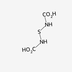 O=C(O)NSNC(=O)O